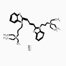 CC[N+](CC)(CC)CCCN1C(=CC=Cc2oc3ccccc3[n+]2CCC[N+](CC)(CC)CC)Oc2ccccc21.[Br-].[Br-].[Br-]